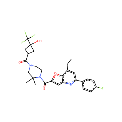 CCc1cc(-c2ccc(F)cc2)nc2cc(C(=O)N3CCN(C(=O)C4CC(O)(C(F)(F)F)C4)CC3(C)C)oc12